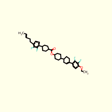 C/C=C/CCc1ccc(C2CCC(C(=O)OC3CCC(C4CC=C(c5ccc(OCC)c(F)c5F)CC4)CC3)CC2)c(F)c1F